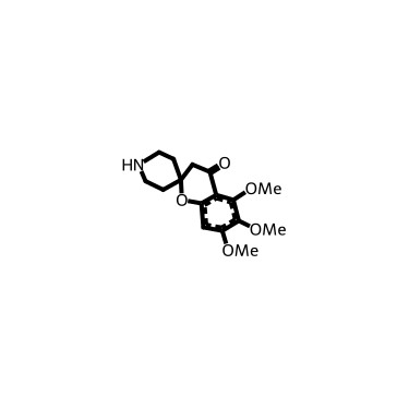 COc1cc2c(c(OC)c1OC)C(=O)CC1(CCNCC1)O2